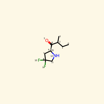 CCC(C)C(=O)[C@@H]1CC(F)(F)CN1